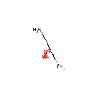 CCCCCCCCCCCCCCCCC(CCCCCCCCCCCCCC)COC(=O)COS(=O)(=O)O